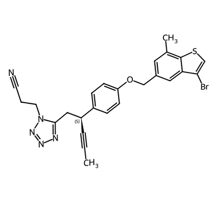 CC#C[C@@H](Cc1nnnn1CCC#N)c1ccc(OCc2cc(C)c3scc(Br)c3c2)cc1